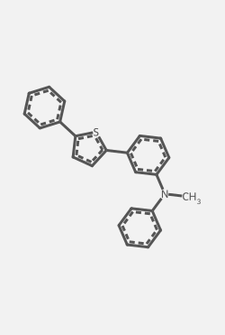 CN(c1ccccc1)c1cccc(-c2ccc(-c3ccccc3)s2)c1